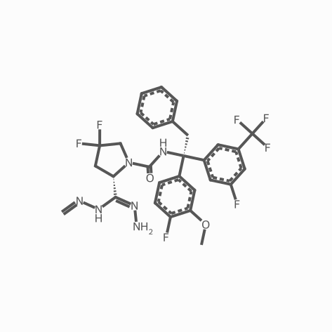 C=NN/C(=N\N)[C@@H]1CC(F)(F)CN1C(=O)N[C@@](Cc1ccccc1)(c1cc(F)cc(C(F)(F)F)c1)c1ccc(F)c(OC)c1